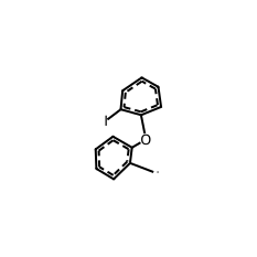 [CH2]c1ccccc1Oc1ccccc1I